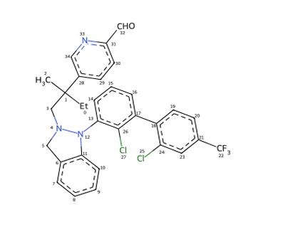 CCC(C)(CN1Cc2ccccc2N1c1cccc(-c2ccc(C(F)(F)F)cc2Cl)c1Cl)c1ccc(C=O)nc1